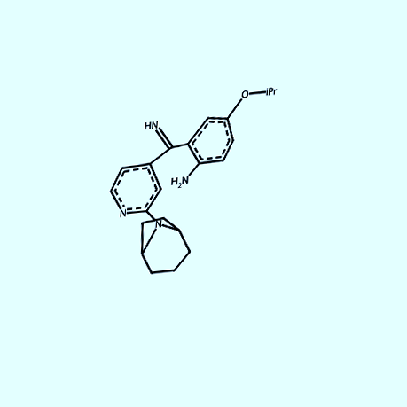 CC(C)Oc1ccc(N)c(C(=N)c2ccnc(N3C4CCCC3CC4)c2)c1